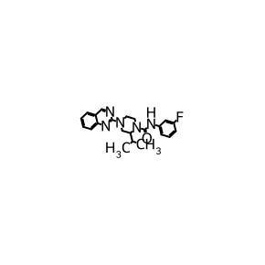 CC(C)C1CN(c2ncc3ccccc3n2)CCN1C(=O)Nc1cccc(F)c1